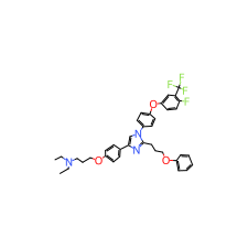 CCN(CC)CCCOc1ccc(-c2cn(-c3ccc(Oc4ccc(F)c(C(F)(F)F)c4)cc3)c(CCCOc3ccccc3)n2)cc1